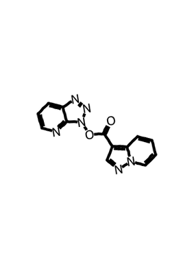 O=C(On1nnc2cccnc21)c1cnn2ccccc12